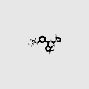 C[C@H]1CCN1c1nc(-c2cccc(N=[S@](C)(N)=O)c2)c2c(n1)C(F)(F)CC2